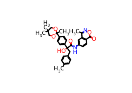 Cc1ccc(CC(O)(C(=O)Nc2ccc3c(=O)onc(C)c3c2)c2ccc(C3(C)OCC(C)(C)CO3)cc2)cc1